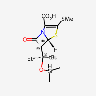 CC[C@](O[SiH](C)C)([C@@H]1C(=O)N2C(C(=O)O)=C(SC)S[C@H]12)C(C)(C)C